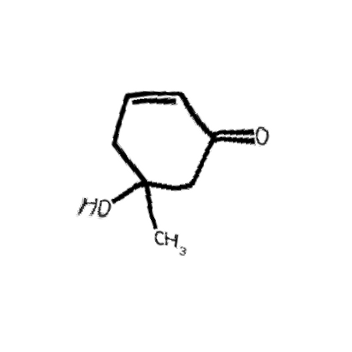 CC1(O)CC=CC(=O)C1